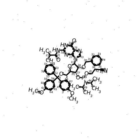 COc1ccc(C(OCC2OC(n3cnc4c(=O)[nH]c(NC(=O)C(C)C)nc43)[C@H](OCc3ccccc3)[C@@H]2OP(OCCC#N)N(C(C)C)C(C)C)(c2ccccc2)c2ccc(OC)cc2)cc1